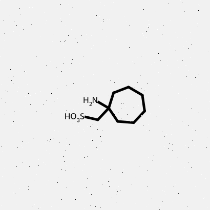 NC1(CS(=O)(=O)O)CCCCCC1